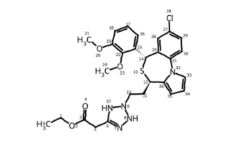 CCOC(=O)CC1=NNN(CC[C@H]2S[C@H](c3cccc(OC)c3OC)c3cc(Cl)ccc3-n3cccc32)N1